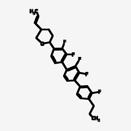 C/C=C/C1CCC(c2ccc(-c3ccc(-c4ccc(CCC)c(F)c4)c(F)c3F)c(F)c2F)OC1